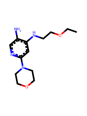 CCOCCNc1cc(N2CCOCC2)ncc1N